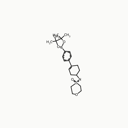 CC1(C)OB(c2ccc(C3=CCC(N=S4(=O)CCOCC4)CC3)cc2)OC1(C)C